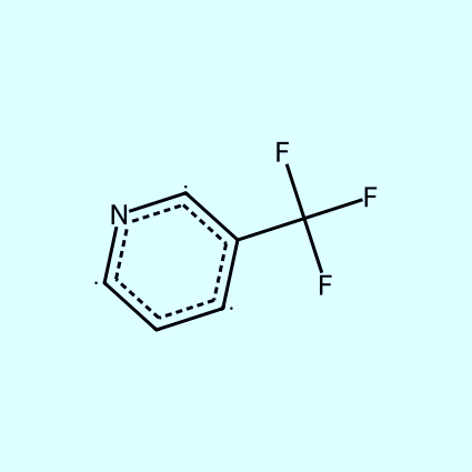 FC(F)(F)c1[c]c[c]n[c]1